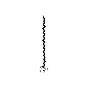 O=C(CCCCCCCCCCCCCCCCCCCCCCCCCI)NO